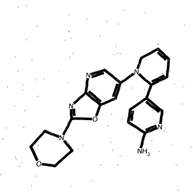 Nc1ccc(C2=CC=CCN2c2cnc3nc(N4CCOCC4)oc3c2)cn1